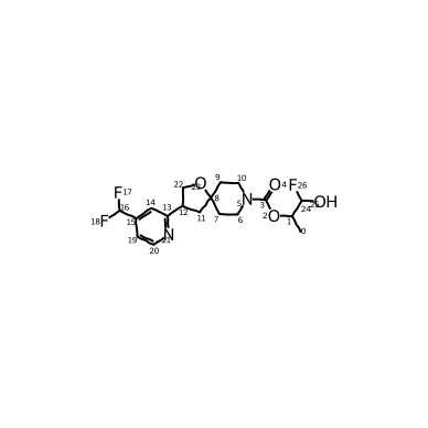 CC(OC(=O)N1CCC2(CC1)CC(c1cc(C(F)F)ccn1)CO2)C(O)F